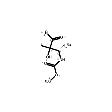 CCCC[C@H](NC(=O)OC(C)(C)C)C(C)(O)C(N)=O